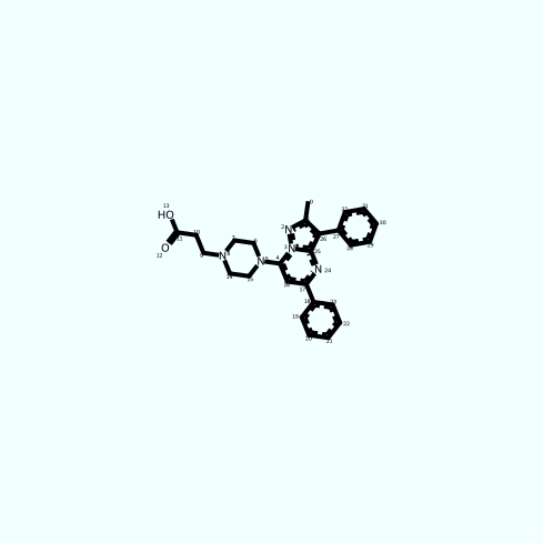 Cc1nn2c(N3CCN(CCC(=O)O)CC3)cc(-c3ccccc3)nc2c1-c1ccccc1